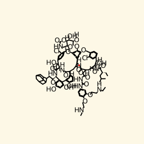 CCNCCOc1ccc(NC(=O)NC(=O)C[C@@H]2CC(=O)[C@H](NC(=O)[C@H](CC)CC(C)C)[C@H](O)c3ccc(c(Cl)c3)Oc3cc4cc(c3O[C@@H]3O[C@@H]5CNC(=O)O[C@H]5[C@H](O)[C@H]3O)Oc3ccc(cc3Cl)[C@@H](O)[C@@H]3NC(=O)[C@H](CC(=O)[C@@H]4NC2=O)c2ccc(O)c(c2)-c2c(O)cc(O)cc2[C@@H](C(=O)CC2C4CC5CC(C4)CC2C5)NC3=O)cc1OCCNCC